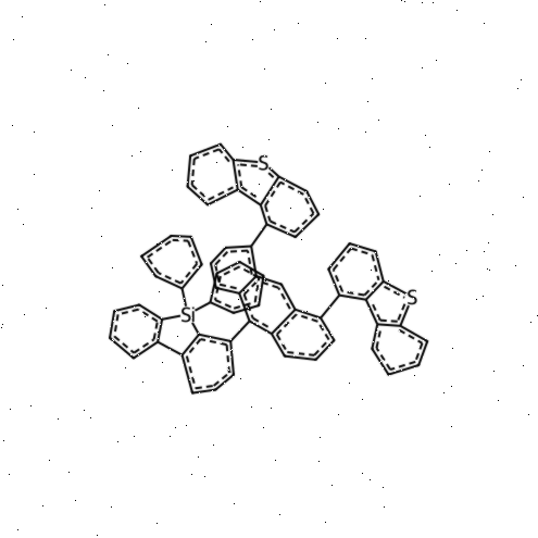 c1ccc([Si]2(c3ccccc3)c3ccccc3-c3cccc(-c4c5cccc(-c6cccc7sc8ccccc8c67)c5cc5c(-c6cccc7sc8ccccc8c67)cccc45)c32)cc1